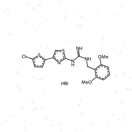 Br.COc1cccc(OC)c1CNC(=N)Nc1nc(-c2ccc(Cl)s2)cs1